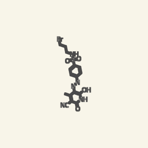 Cc1c(N=Nc2ccc(S(=O)(=O)NCCCBr)cc2)c(O)[nH]c(=O)c1C#N